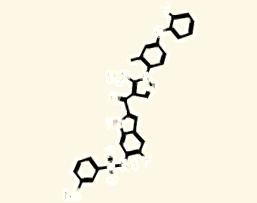 Cc1cc(Oc2ccccc2F)ccc1-n1ncc(C(=O)c2cc3cc(F)c(NS(=O)(=O)c4cccc(C#N)c4)cc3[nH]2)c1N